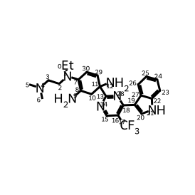 CCN(CCN(C)C)C1=C(N)CC(N)(c2ncc(C(F)(F)F)c(-c3c[nH]c4ccccc34)n2)C=C1